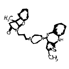 Cc1cc2c(s1)Nc1ccccc1N=C2N1CCN(CCCN2C(=O)CC(C)(c3ccccc3)C2=O)CC1